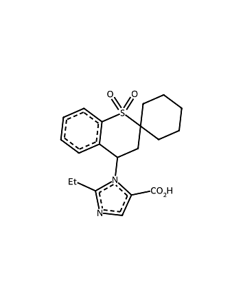 CCc1ncc(C(=O)O)n1C1CC2(CCCCC2)S(=O)(=O)c2ccccc21